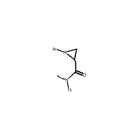 CCN(C)C(=O)C1CN1C(C)=O